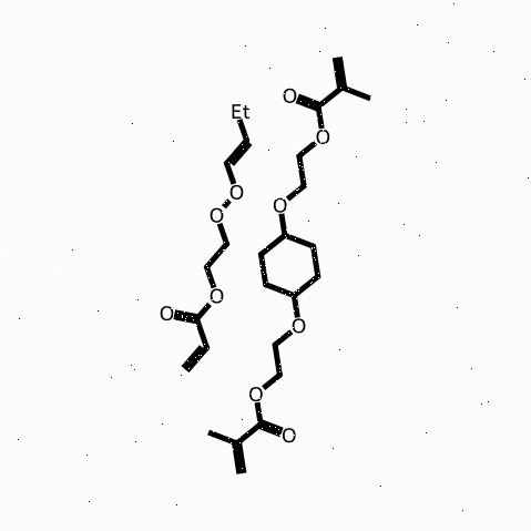 C=C(C)C(=O)OCCOC1CCC(OCCOC(=O)C(=C)C)CC1.C=CC(=O)OCCOOC=CCC